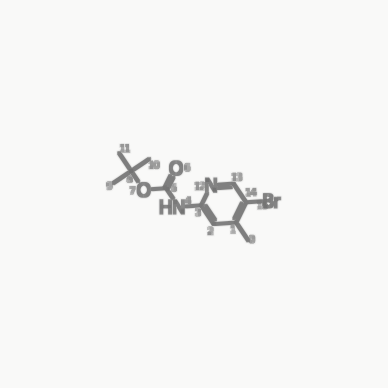 Cc1cc(NC(=O)OC(C)(C)C)ncc1Br